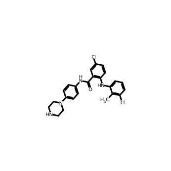 Cc1c(Cl)cccc1Nc1ccc(Cl)cc1C(=O)Nc1ccc(N2CCNCC2)cc1